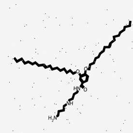 CCCCCCCCC=CCCCCCCCCOc1ccc(C(=O)NCCCCNCCCCN)cc1OCCCCCCCCC=CCCCCCCCC